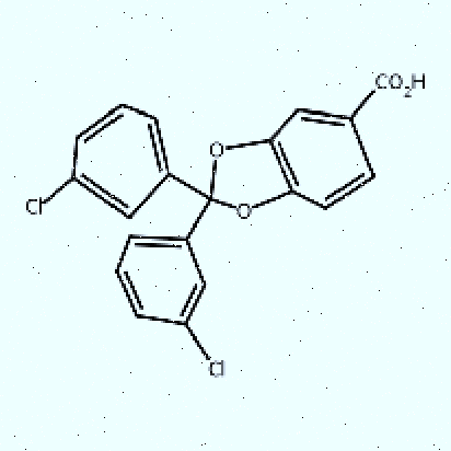 O=C(O)c1ccc2c(c1)OC(c1cccc(Cl)c1)(c1cccc(Cl)c1)O2